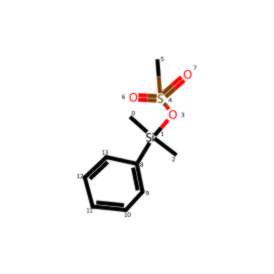 C[Si](C)(OS(C)(=O)=O)c1ccccc1